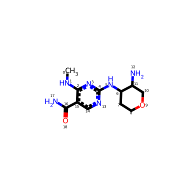 CNc1nc(NC2CCOCC2N)ncc1C(N)=O